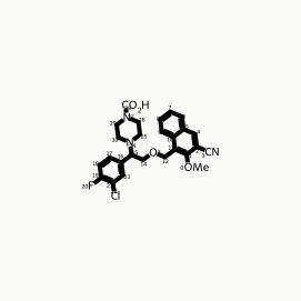 COc1c(C#N)cc2ccccc2c1COCC(c1ccc(F)c(Cl)c1)N1CCN(C(=O)O)CC1